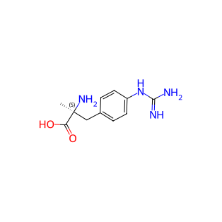 C[C@](N)(Cc1ccc(NC(=N)N)cc1)C(=O)O